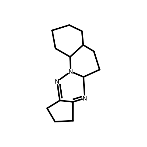 C1CC2=NC3CCC4CCCCC4N3N=C2C1